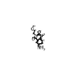 COCCn1c(=O)c2cc(N)ccc2n(C)c1=O